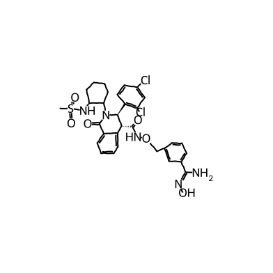 CS(=O)(=O)N[C@H]1CCCCC1N1C(=O)c2ccccc2[C@@H](C(=O)NOCc2cccc(C(N)=NO)c2)[C@@H]1c1ccc(Cl)cc1Cl